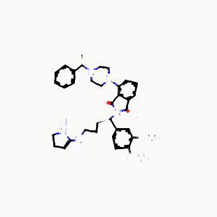 COc1ccc([C@@H](CCCNC2=CCCN2)N2C(=O)c3cccc(N4CCN([C@H](C)c5ccccc5)CC4)c3C2=O)cc1OC